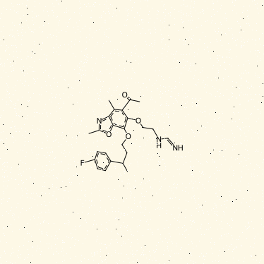 CC(=O)c1c(OCCNC=N)c(OCCC(C)c2ccc(F)cc2)c2oc(C)nc2c1C